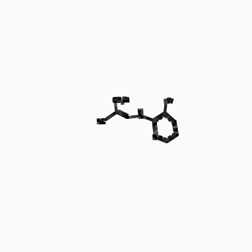 CCCc1cccnc1N/C=C(/C#N)C(=O)OCC